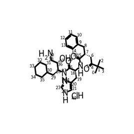 CC(C)(C)C(=O)C[C@@H](Cc1ccccc1)C(=O)N[C@@H](Cc1c[nH]cn1)C(=O)N[C@@H](CC1CCCCC1)[C@@H](O)CN.Cl